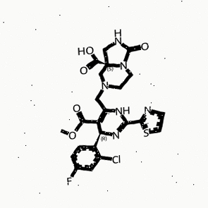 COC(=O)C1=C(CN2CCN3C(=O)NC[C@@]3(C(=O)O)C2)NC(c2nccs2)=N[C@H]1c1ccc(F)cc1Cl